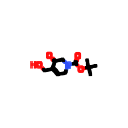 CC(C)(C)OC(=O)N1CC=C(CO)C(=O)C1